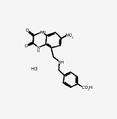 Cl.O=C(O)c1ccc(CNCc2cc([N+](=O)[O-])cc3[nH]c(=O)c(=O)[nH]c23)cc1